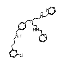 Clc1cccc(CCCNCc2ccc(CN(CCNCc3ccccn3)CCNCc3ccccn3)cc2)c1